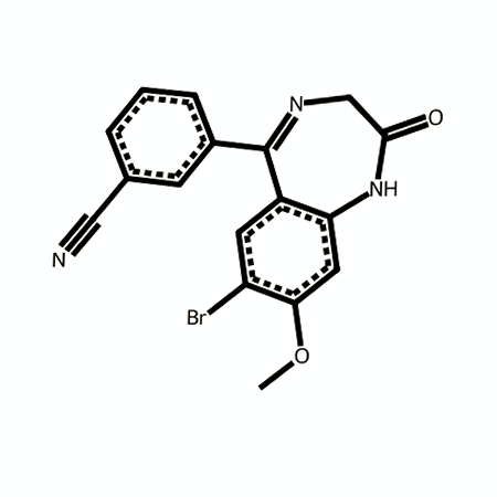 COc1cc2c(cc1Br)C(c1cccc(C#N)c1)=NCC(=O)N2